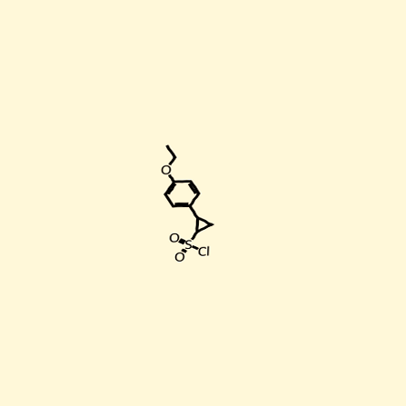 CCOc1ccc(C2CC2S(=O)(=O)Cl)cc1